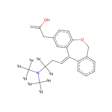 [2H]C([2H])([2H])N(C([2H])([2H])[2H])C([2H])([2H])C/C=C1/c2ccccc2COc2ccc(CC(=C)O)cc21